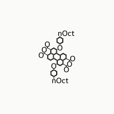 CCCCCCCCc1ccc(Oc2cc3c4c(ccc5c6c(Oc7ccc(CCCCCCCC)cc7)cc7c8c(ccc(c2c45)c86)C(=O)OC7=O)C(=O)OC3=O)cc1